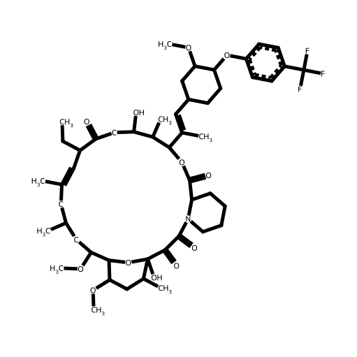 CCC1/C=C(\C)CC(C)CC(OC)C2OC(O)(C(=O)C(=O)N3CCCCC3C(=O)OC(C(C)=CC3CCC(Oc4ccc(C(F)(F)F)cc4)C(OC)C3)C(C)C(O)CC1=O)C(C)CC2OC